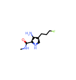 CNC(=O)c1[nH]cc(CCCF)c1N